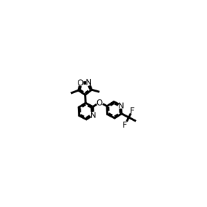 Cc1noc(C)c1-c1cccnc1Oc1ccc(C(C)(F)F)nc1